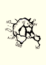 CO[C@H]1/C=C/CC(=O)C2=c3c4c(O)c(c5c3nc3cc(CO)ccn35)NC(=O)/C(C)=C\C=C\[C@H](C)[C@H](O)[C@@H](C)[C@@H](O)[C@@H](C)[C@H](OC(C)=O)[C@H]1C(C)C2C#CC=4O